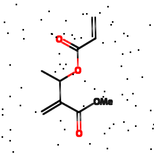 C=CC(=O)OC(C)C(=C)C(=O)OC